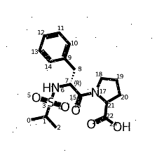 CC(C)S(=O)(=O)N[C@H](Cc1ccccc1)C(=O)N1CCCC1C(=O)O